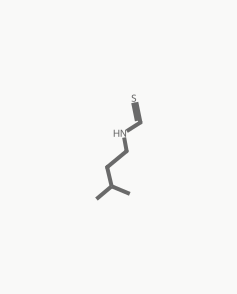 CC(C)CCNC=S